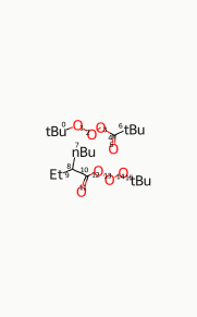 CC(C)(C)OOOC(=O)C(C)(C)C.CCCCC(CC)C(=O)OOOC(C)(C)C